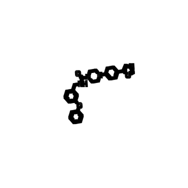 O=C(NCc1cccc(Oc2ccccc2)c1)N1CCN(C2=CC=C(c3cnco3)CC2)CC1